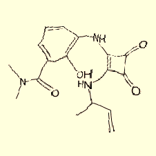 C=CC(C)Nc1c(Nc2cccc(C(=O)N(C)C)c2O)c(=O)c1=O